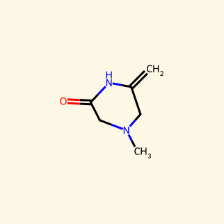 C=C1CN(C)CC(=O)N1